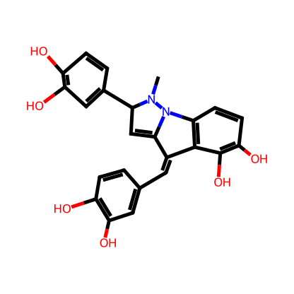 CN1C(c2ccc(O)c(O)c2)C=c2/c(=C\c3ccc(O)c(O)c3)c3c(O)c(O)ccc3n21